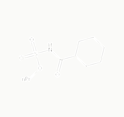 CCCOS(=O)(=O)NC(=O)C1CCCCC1